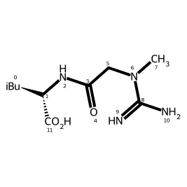 CC[C@H](C)[C@H](NC(=O)CN(C)C(=N)N)C(=O)O